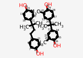 CC(C)(CCc1ccc(O)cc1)c1ccc(O)cc1.Cc1cc(C(C)(C)c2ccc(O)c(C)c2)ccc1O